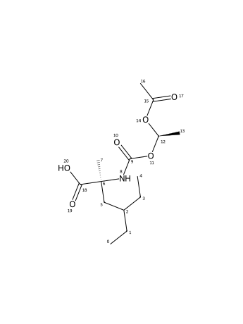 CCC(CC)C[C@](C)(NC(=O)O[C@H](C)OC(C)=O)C(=O)O